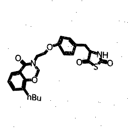 CCCCc1cccc2c1OCN(CCOc1ccc(CC3NC(=O)SC3=O)cc1)C2=O